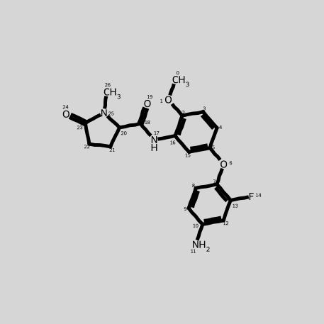 COc1ccc(Oc2ccc(N)cc2F)cc1NC(=O)C1CCC(=O)N1C